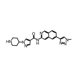 Cn1cc(-c2ccc3cnc(NC(=O)c4cnn(C5CCNCC5)c4)cc3c2)nn1